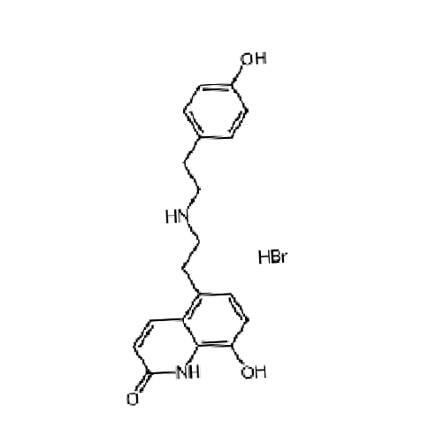 Br.O=c1ccc2c(CCNCCc3ccc(O)cc3)ccc(O)c2[nH]1